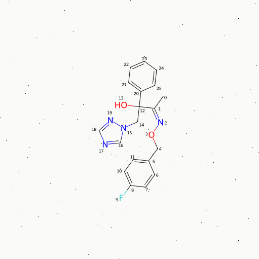 CC(=NOCc1ccc(F)cc1)C(O)(Cn1cncn1)c1ccccc1